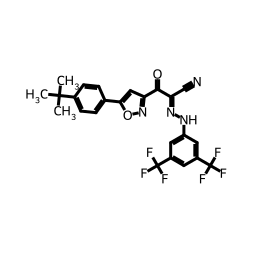 CC(C)(C)c1ccc(-c2cc(C(=O)C(C#N)=NNc3cc(C(F)(F)F)cc(C(F)(F)F)c3)no2)cc1